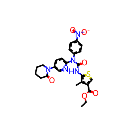 CCOC(=O)c1csc(NC(=O)N(c2ccc([N+](=O)[O-])cc2)c2ccc(N3CCCCC3=O)cn2)c1C